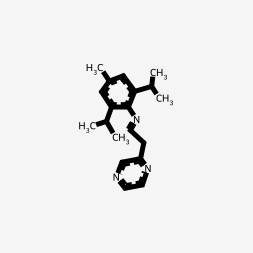 Cc1cc(C(C)C)c(N=CCc2cnccn2)c(C(C)C)c1